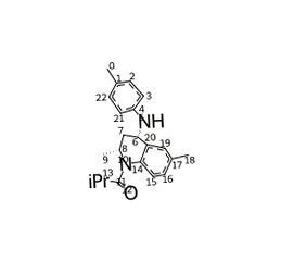 Cc1ccc(N[C@H]2C[C@@H](C)N(C(=O)C(C)C)c3ccc(C)cc32)cc1